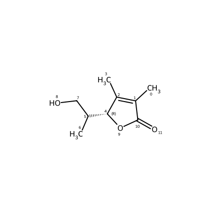 CC1=C(C)[C@@H](C(C)CO)OC1=O